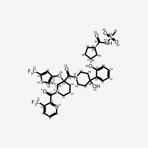 CCC[C@H]1N(C(=O)c2ncccc2C(F)(F)F)CCC[C@@]1(Oc1csc(C(F)(F)F)c1)C(=O)N1CCC(O)(c2ccccc2O[C@@H]2CC[C@@H](C(=O)NS(C)(=O)=O)C2)CC1